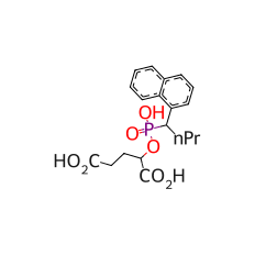 CCCC(c1cccc2ccccc12)P(=O)(O)OC(CCC(=O)O)C(=O)O